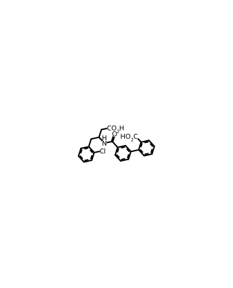 O=C(O)CC(Cc1ccccc1Cl)NC(=O)c1cccc(-c2ccccc2C(=O)O)c1